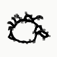 CCN1C(=O)NC2CC2CCCCOc2nc(cn3ccnc23)-c2cc(ncc2OC)[C@H]1C